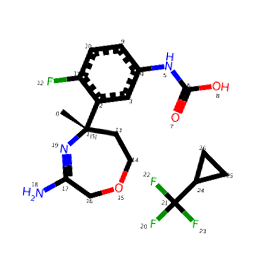 C[C@@]1(c2cc(NC(=O)O)ccc2F)CCOCC(N)=N1.FC(F)(F)C1CC1